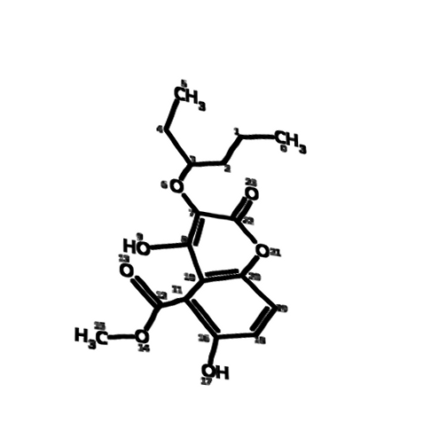 CCCC(CC)Oc1c(O)c2c(C(=O)OC)c(O)ccc2oc1=O